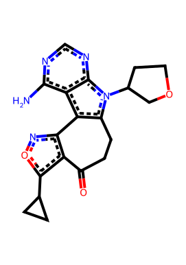 Nc1ncnc2c1c1c(n2C2CCOC2)CCC(=O)c2c-1noc2C1CC1